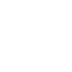 C(OCC1CO1)C1CO1.CC12CCCCC1C(=O)OC2=O